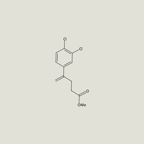 C=C(CCC(=O)OC)c1ccc(Cl)c(Cl)c1